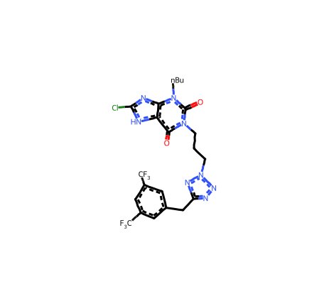 CCCCn1c(=O)n(CCCn2nnc(Cc3cc(C(F)(F)F)cc(C(F)(F)F)c3)n2)c(=O)c2[nH]c(Cl)nc21